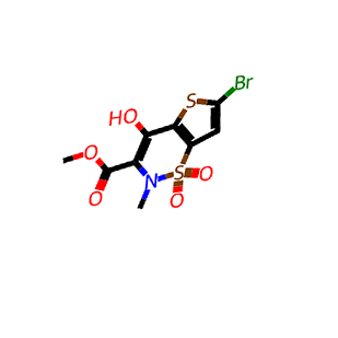 COC(=O)C1=C(O)c2sc(Br)cc2S(=O)(=O)N1C